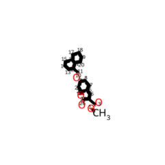 COC(=O)c1cc2ccc(OCc3cccc4ccccc34)cc2oc1=O